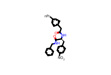 CCCc1ccc(CC(=O)N[C@@H](Cc2ccc([N+](=O)[O-])cc2)C(=O)NCc2ccccc2)cc1